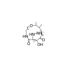 CC1/C=C\C(=O)/C(O)=C(\NN)C(=O)NCCOC1C